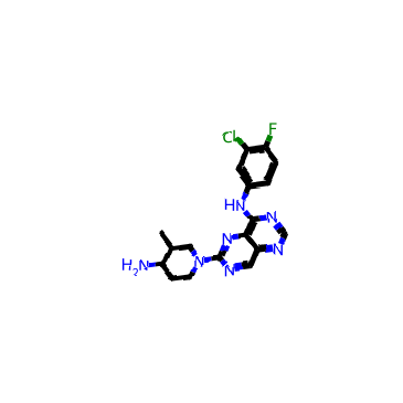 CC1CN(c2ncc3ncnc(Nc4ccc(F)c(Cl)c4)c3n2)CCC1N